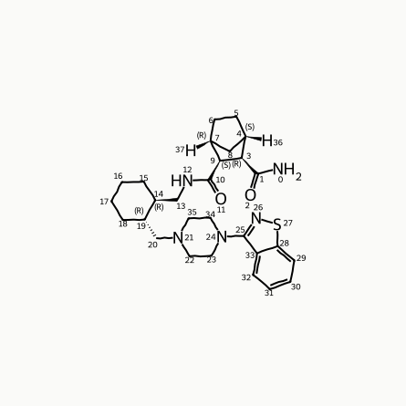 NC(=O)[C@@H]1[C@H]2CC[C@H](C2)[C@@H]1C(=O)NC[C@@H]1CCCC[C@H]1CN1CCN(c2nsc3ccccc23)CC1